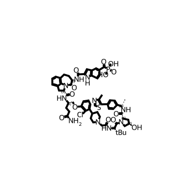 Cc1ncsc1-c1ccc([C@H](C)NC(=O)[C@@H]2C[C@@H](O)CN2C(=O)[C@@H](NC(=O)CN2CCC(c3cccc(OC[C@H](CCC(N)=O)NC(=O)[C@@H]4Cc5cccc6c5N4C(=O)[C@@H](NC(=O)c4cc5cc(C(=O)P(=O)(O)O)ccc5[nH]4)CC6)c3Cl)CC2)C(C)(C)C)cc1